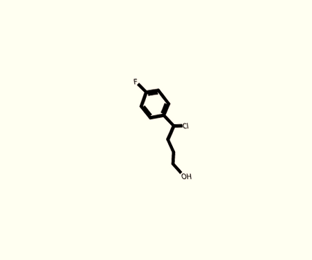 OCCCC(Cl)c1ccc(F)cc1